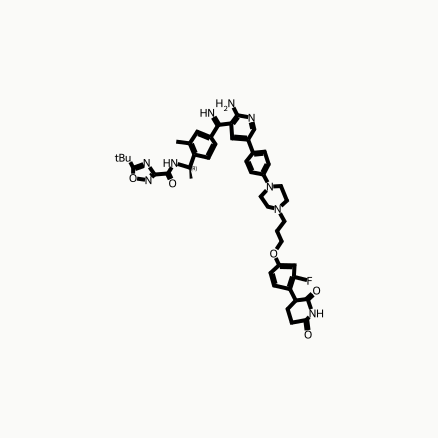 Cc1cc(C(=N)c2cc(-c3ccc(N4CCN(CCCOc5ccc(C6CCC(=O)NC6=O)c(F)c5)CC4)cc3)cnc2N)ccc1[C@@H](C)NC(=O)c1noc(C(C)(C)C)n1